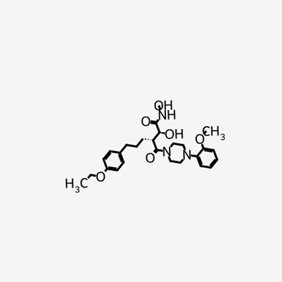 CCOc1ccc(CCC[C@@H](C(=O)N2CCN(c3ccccc3OC)CC2)[C@H](O)C(=O)NO)cc1